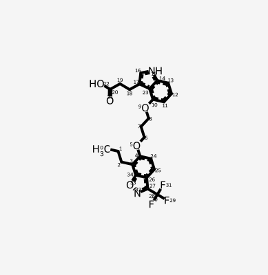 CCCc1c(OCCCOc2cccc3[nH]cc(CCC(=O)O)c23)ccc2c(C(F)(F)F)noc12